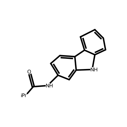 CC(C)C(=O)Nc1ccc2c(c1)[nH]c1ccccc12